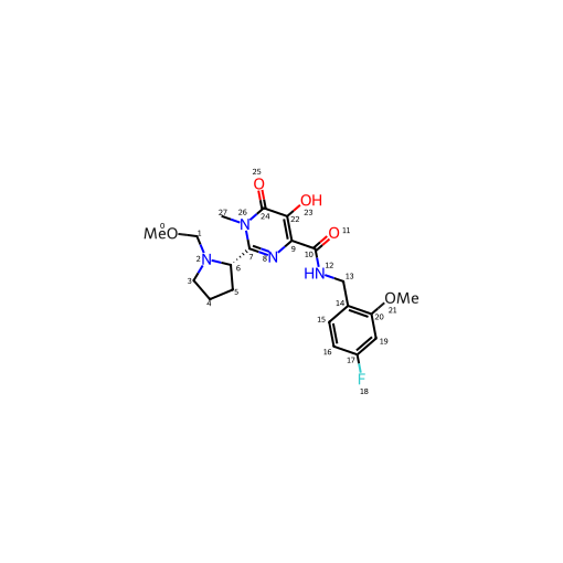 COCN1CCC[C@H]1c1nc(C(=O)NCc2ccc(F)cc2OC)c(O)c(=O)n1C